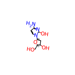 NC1=NC(O)N([C@H]2CC(O)[C@@H](CO)O2)C=C1